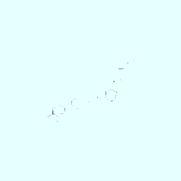 Cc1cc(-c2ccc(N3CCN(c4ccc5c(c4)C(=O)N(C4CCC(=O)NC4=O)C5)CC3)cc2)cn(C)c1=O